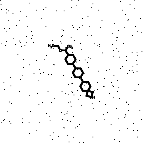 CCOC(C)N1CCN(C2CCN(C3CCC4(CC3)CNC4)CC2)CC1